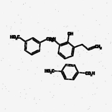 C=CCc1cccc(O)c1O.O=C(O)c1ccc(C(=O)O)cc1.O=C(O)c1cccc(C(=O)O)c1